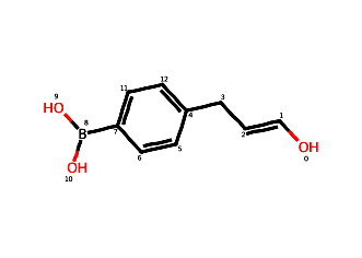 OC=CCc1ccc(B(O)O)cc1